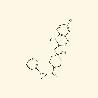 O=C([C@@H]1C[C@H]1c1ccccc1)N1CCC(O)(Cn2cnc3cc(Cl)ccc3c2=O)CC1